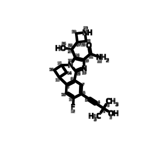 CC(C)(O)C#Cc1cc2c(cc1F)C1CC(C1)n1c-2nc(C(N)=O)c1[C@@H](O)C1CNC1